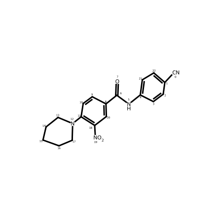 N#Cc1ccc(NC(=O)c2ccc(N3CCCCC3)c([N+](=O)[O-])c2)cc1